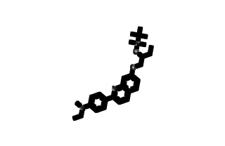 CCC(COc1ccc2ccc(-c3ccc(N(C)CC)cc3)nc2c1)O[Si](C)(C)C(C)(C)C